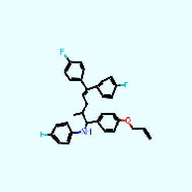 C=CCOc1ccc(C(Nc2ccc(F)cc2)C(C)CC=C(c2ccc(F)cc2)c2ccc(F)cc2)cc1